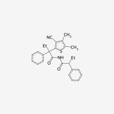 CCC(C(=O)NC(=O)C(CC)(c1ccccc1)c1sc(C)c(C)c1C#N)c1ccccc1